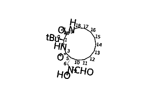 CC(C)(C)[C@@H]1NC(=O)[C@@H](CN(O)C=O)CCCCCCCCCNC1=O